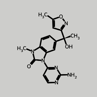 Cc1cc([C@](C)(O)c2ccc3c(c2)n(-c2ccnc(N)n2)c(=O)n3C)no1